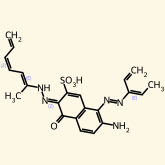 C=C/C=C\C=C(/C)N/N=C1/C(=O)c2ccc(N)c(N=N/C(C=C)=C/C)c2C=C1S(=O)(=O)O